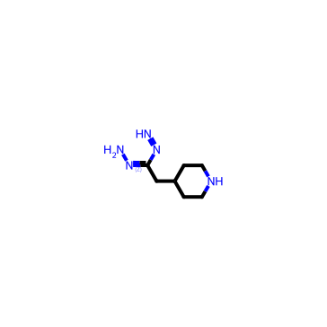 N=N/C(CC1CCNCC1)=N\N